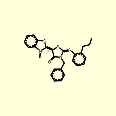 CCCc1ccccc1/N=C1/S/C(=C2\Sc3ccccc3N2C)C(=O)N1Cc1ccccc1